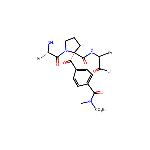 CCOC(=O)N(C)C(=O)c1ccc(C(=O)[C@@]2(C(=O)NC(C(=O)C(F)(F)F)C(C)C)CCCN2C(=O)[C@@H](N)C(C)C)cc1